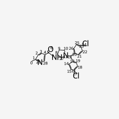 Cc1ccc(C(=O)NC2CCN(C(c3ccc(Cl)cc3)c3ccc(Cl)cc3)C2)cn1